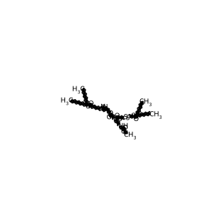 CCCCCCCCC(CCCCCCCC)OC(=O)CCCCCn1cc(CCOC(=O)CCN(CCCNCC(=O)OCC)C(=O)OCCSSCCOC(=O)C(CCCCCCC)CCCCCCC)nn1